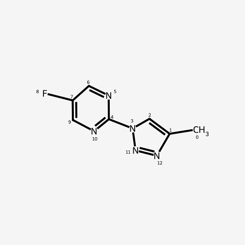 Cc1cn(-c2ncc(F)cn2)nn1